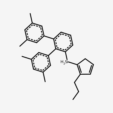 CCCC1=C([SiH2]c2cccc(-c3cc(C)cc(C)c3)c2-c2cc(C)cc(C)c2)CC=C1